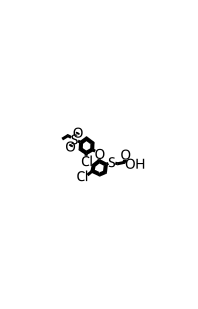 CCS(=O)(=O)c1ccc(Oc2cc(Cl)ccc2SCC(=O)O)c(Cl)c1